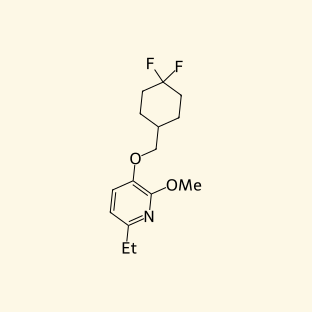 CCc1ccc(OCC2CCC(F)(F)CC2)c(OC)n1